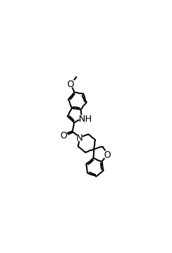 COc1ccc2[nH]c(C(=O)N3CCC4(CC3)COc3ccccc34)cc2c1